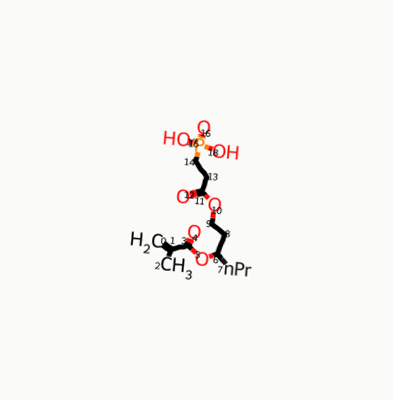 C=C(C)C(=O)OC(CCC)CCOC(=O)CCP(=O)(O)O